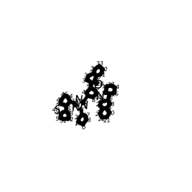 c1ccc(-c2nc(-c3cc(-n4c5ccccc5c5cc6ccccc6cc54)c4oc5c6ccccc6ccc5c4c3)nc(-c3cccc4sc5ccccc5c34)n2)cc1